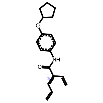 C=C/C=C(\C=C)C(=O)Nc1ccc(OC2CCCC2)cc1